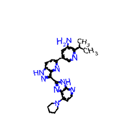 CC(C)c1ncc(-c2ccc3[nH]nc(-c4nc5c(N6CCCCC6)ccnc5[nH]4)c3n2)cc1N